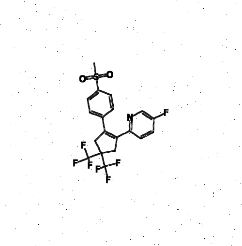 CS(=O)(=O)c1ccc(C2=C(c3ccc(F)cn3)CC(C(F)(F)F)(C(F)(F)F)C2)cc1